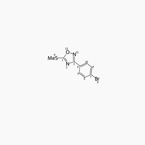 CSc1nc(-c2ccc(Br)cc2)no1